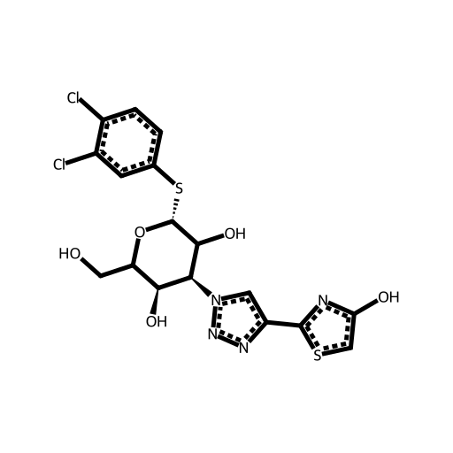 OCC1O[C@H](Sc2ccc(Cl)c(Cl)c2)C(O)[C@@H](n2cc(-c3nc(O)cs3)nn2)[C@H]1O